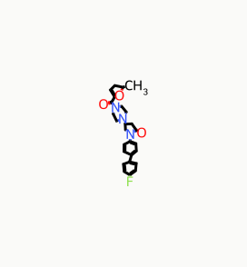 CC1CC=C(C(=O)N2CCN([C@@H]3CC(=O)N(c4ccc(-c5ccc(F)cc5)cc4)C3)CC2)O1